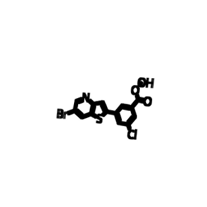 O=C(OO)c1cc(Cl)cc(-c2cc3ncc(Br)cc3s2)c1